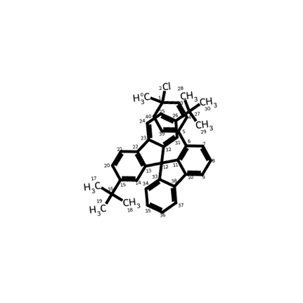 CC1(Cl)C=CC(c2cccc3c2C2(c4cc(C(C)(C)C)ccc4-c4ccc(C(C)(C)C)cc42)c2ccccc2-3)=CC1